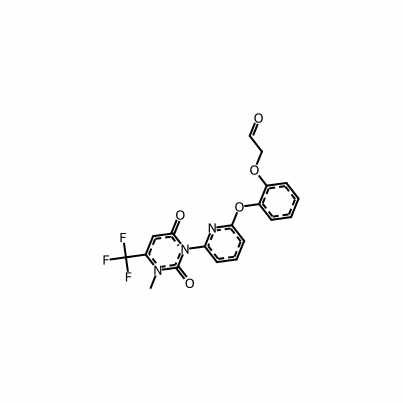 Cn1c(C(F)(F)F)cc(=O)n(-c2cccc(Oc3ccccc3OCC=O)n2)c1=O